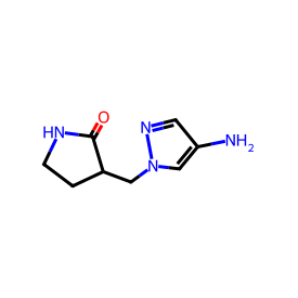 Nc1cnn(CC2CCNC2=O)c1